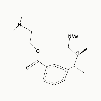 CNC[C@@H](C)C(C)c1cccc(C(=O)OCCN(C)C)c1